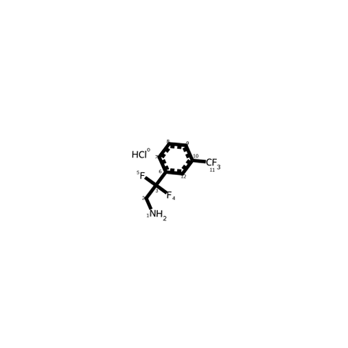 Cl.NCC(F)(F)c1cccc(C(F)(F)F)c1